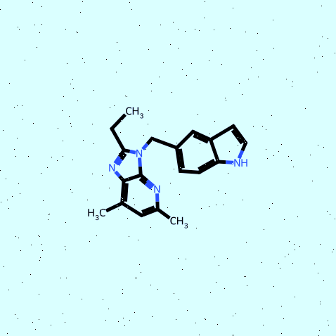 CCc1nc2c(C)cc(C)nc2n1Cc1ccc2[nH]ccc2c1